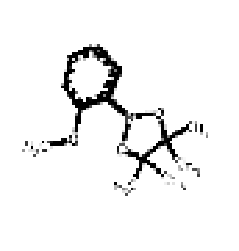 COc1ccccc1B1OC(C)(C)C(C)(C)O1